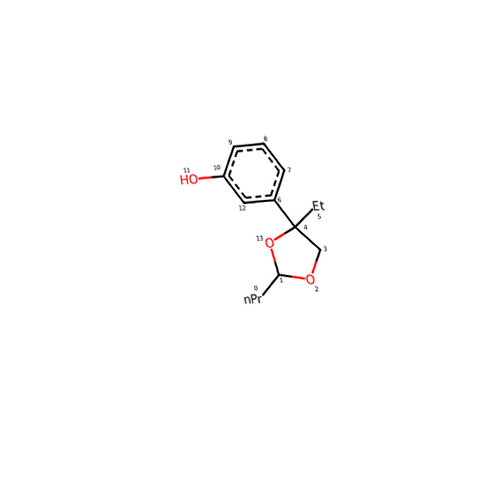 CCCC1OCC(CC)(c2cccc(O)c2)O1